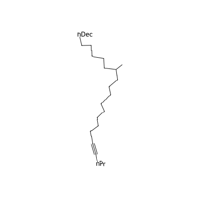 [CH2]CCC#CCCCCCCCCC(C)CCCCCCCCCCCCCC[CH2]